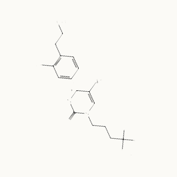 CC(C)C1=CN(CCCC(C)(C)C(=O)O)C(=O)N[C@@H]1c1ccc(CCC(C)(C)C)c(Cl)c1